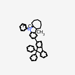 CC12CCCCCCC1(C)N(c1ccccc1)c1ccc(-c3ccc4c(c3)C(c3ccccc3)(c3ccccc3)c3ccccc3-4)cc12